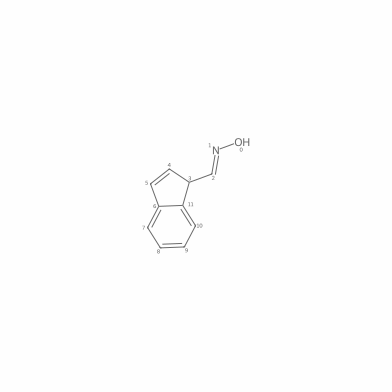 ON=CC1C=Cc2ccccc21